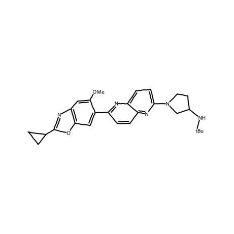 COc1cc2nc(C3CC3)oc2cc1-c1ccc2nc(N3CCC(NC(C)(C)C)C3)ccc2n1